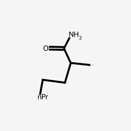 [CH2]C(CCCCC)C(N)=O